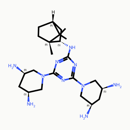 CC1(C)[C@@H]2CC[C@@]1(C)[C@@H](Nc1nc(N3C[C@H](N)C[C@H](N)C3)nc(N3C[C@H](N)C[C@H](N)C3)n1)C2